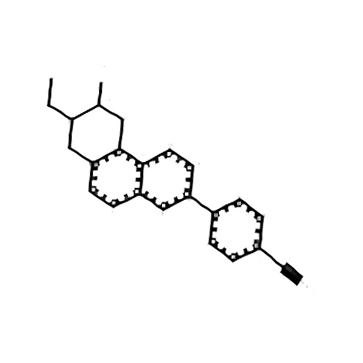 CCC1Cc2ccc3cc(-c4ccc(C#N)cc4)ccc3c2CC1F